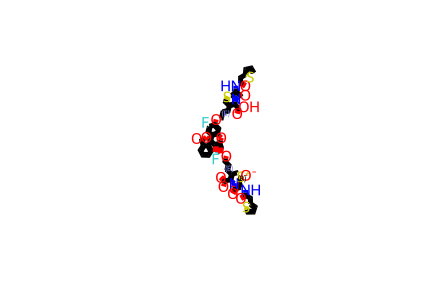 O=C(Cc1cccs1)NC1C(=O)N2C(C(=O)O)=C(/C=C/COc3cc4c(cc3F)C3(OC(=O)c5ccccc53)c3cc(F)c(OC/C=C/C5=C(C(=O)O)N6C(=O)C(NC(=O)Cc7cccs7)C6[S@@+]([O-])C5)cc3O4)CSC12